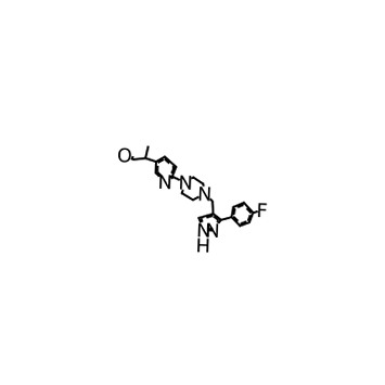 CC(C=O)c1ccc(N2CCN(Cc3c[nH]nc3-c3ccc(F)cc3)CC2)nc1